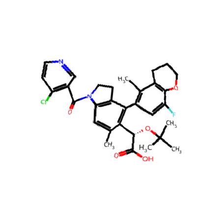 Cc1cc2c(c(-c3cc(F)c4c(c3C)CCCO4)c1[C@H](OC(C)(C)C)C(=O)O)CCN2C(=O)c1cnccc1Cl